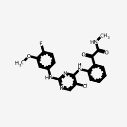 CNC(=O)C(=O)c1ccccc1Nc1nc(Nc2ccc(F)c(OC)c2)ncc1Cl